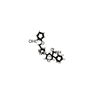 O=Cc1ccccc1OCc1cn(C2COCC3(C2)C(=O)Nc2ccccc23)nn1